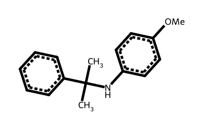 COc1ccc(NC(C)(C)c2ccccc2)cc1